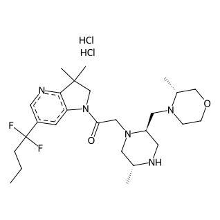 CCCC(F)(F)c1cnc2c(c1)N(C(=O)CN1C[C@@H](C)NC[C@@H]1CN1CCOC[C@H]1C)CC2(C)C.Cl.Cl